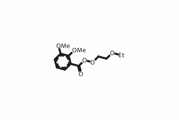 CCOC[CH]OOC(=O)c1cccc(OC)c1OC